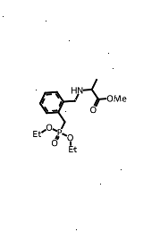 CCOP(=O)(Cc1ccccc1CNC(C)C(=O)OC)OCC